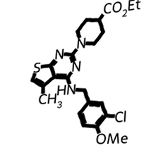 CCOC(=O)C1CCN(c2nc(NCc3ccc(OC)c(Cl)c3)c3c(C)csc3n2)CC1